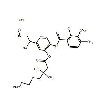 CCCCCCCCCCCCCCC(C)(C)CC(=O)Oc1cc(C(O)CNC(C)C)ccc1OC(=O)c1ccc(C)c(OC)c1Cl.Cl